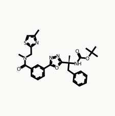 Cc1csc(CN(C)C(=O)c2cccc(-c3nnc([C@@](C)(Cc4ccccc4)NC(=O)OC(C)(C)C)o3)c2)n1